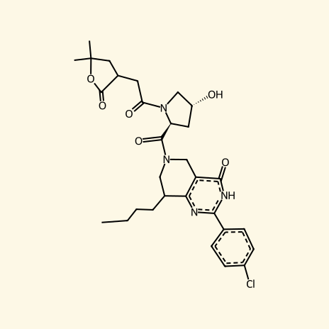 CCCCC1CN(C(=O)[C@@H]2C[C@@H](O)CN2C(=O)CC2CC(C)(C)OC2=O)Cc2c1nc(-c1ccc(Cl)cc1)[nH]c2=O